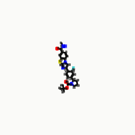 CNC(=O)c1ccc2c(c1)sc1nc(-c3ccc(C4CCCN4C(=O)OC(C)(C)C)cc3F)cn12